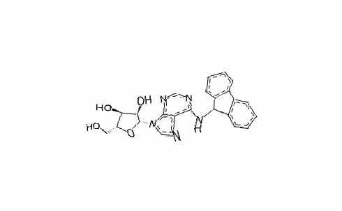 OC[C@H]1O[C@@H](n2cnc3c(NC4c5ccccc5-c5ccccc54)ncnc32)[C@H](O)[C@@H]1O